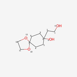 OCCC1(O)CCC2(CC1)OCCO2